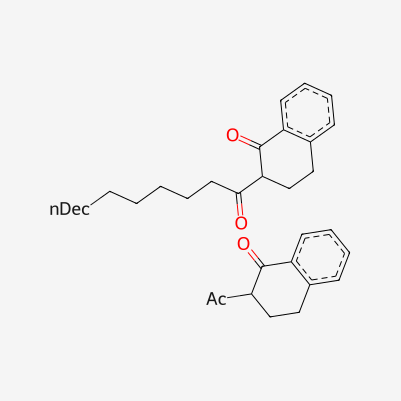 CC(=O)C1CCc2ccccc2C1=O.CCCCCCCCCCCCCCCC(=O)C1CCc2ccccc2C1=O